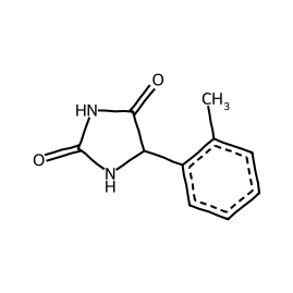 Cc1ccccc1C1NC(=O)NC1=O